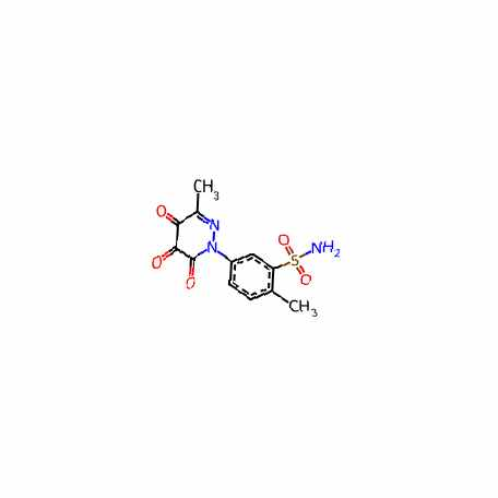 CC1=NN(c2ccc(C)c(S(N)(=O)=O)c2)C(=O)C(=O)C1=O